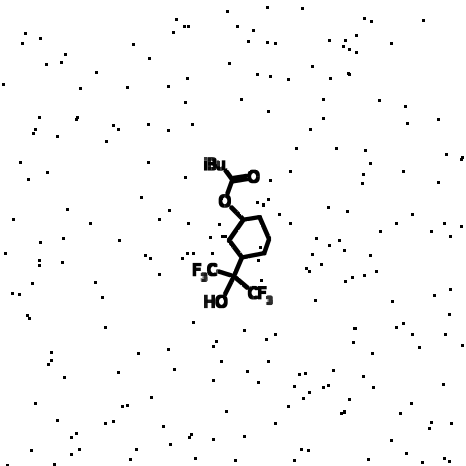 CCC(C)C(=O)OC1CCCC(C(O)(C(F)(F)F)C(F)(F)F)C1